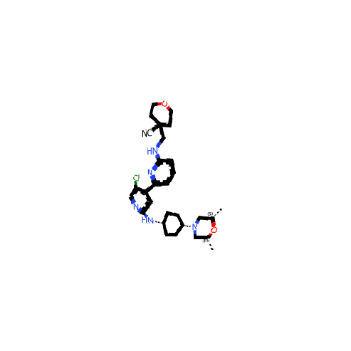 C[C@@H]1CN([C@H]2CC[C@@H](Nc3cc(-c4cccc(NCC5(C#N)CCOCC5)n4)c(Cl)cn3)CC2)C[C@H](C)O1